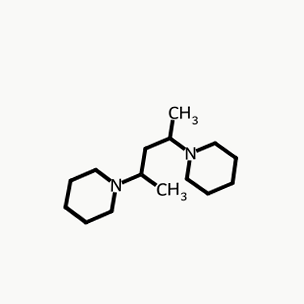 CC(CC(C)N1CCCCC1)N1CCCCC1